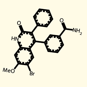 COc1cc2[nH]c(=O)c(-c3ccccc3)c(-c3cccc(C(N)=O)c3)c2cc1Br